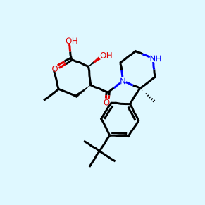 CC(C)C[C@H](C(=O)N1CCNC[C@@]1(C)c1ccc(C(C)(C)C)cc1)[C@H](O)C(=O)O